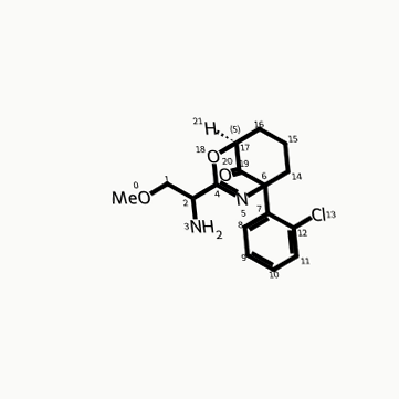 COCC(N)C1=NC2(c3ccccc3Cl)CCC[C@H](O1)C2=O